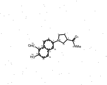 CNC(=O)C1CCN(c2ccc3c(C=O)c(O)ccc3c2)C1